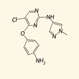 Cn1cc(Nc2ncc(Cl)c(Oc3ccc(N)cc3)n2)cn1